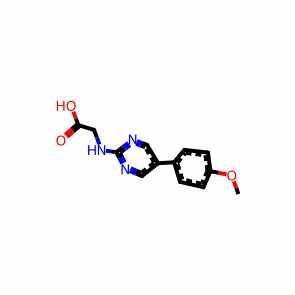 COc1ccc(-c2cnc(NCC(=O)O)nc2)cc1